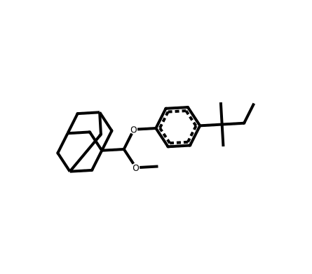 CCC(C)(C)c1ccc(OC(OC)C23CC4CC(CC(C4)C2)C3)cc1